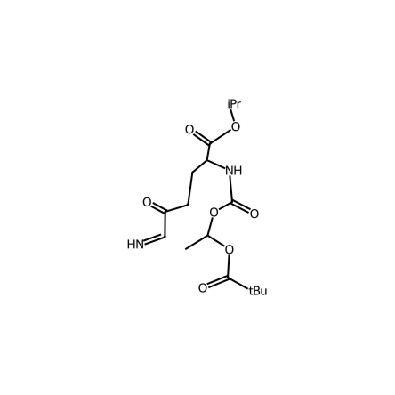 CC(C)OC(=O)C(CCC(=O)C=N)NC(=O)OC(C)OC(=O)C(C)(C)C